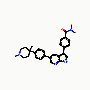 CN1CCC(C)(c2ccc(-c3cnc4[nH]cc(-c5ccc(C(=O)N(C)C)cc5)c4c3)cc2)CC1